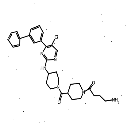 NCCCC(=O)N1CCC(C(=O)N2CCC(Nc3ncc(Cl)c(-c4cccc(-c5ccccc5)c4)n3)CC2)CC1